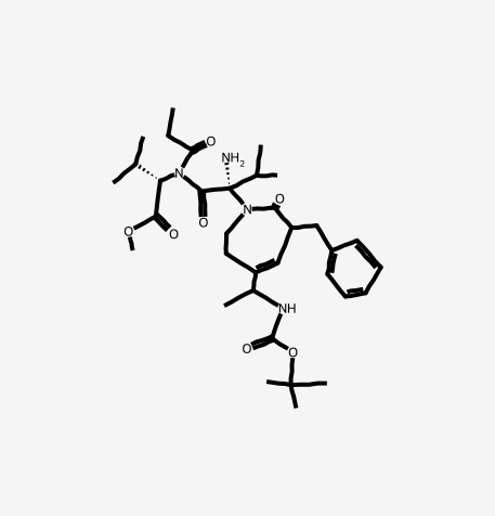 CCC(=O)N(C(=O)[C@@](N)(C(C)C)N1CCC(C(C)NC(=O)OC(C)(C)C)=CC(Cc2ccccc2)C1=O)[C@H](C(=O)OC)C(C)C